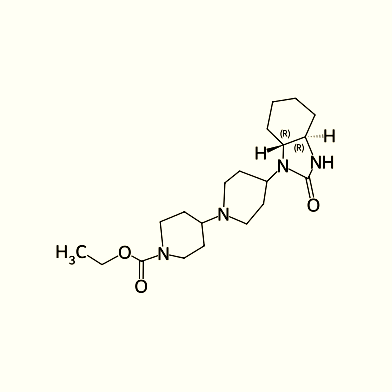 CCOC(=O)N1CCC(N2CCC(N3C(=O)N[C@@H]4CCCC[C@H]43)CC2)CC1